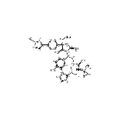 CC(C)n1ncc(-c2ccc([C@@]3(CC(C)(C)C)NC(=N)N([C@H](COC(=O)NC4(C(F)(F)F)CC4)c4ccc(Cl)c(-n5ncnc5C(F)F)c4)C3=O)cc2)n1